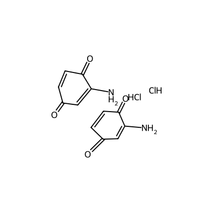 Cl.Cl.NC1=CC(=O)C=CC1=O.NC1=CC(=O)C=CC1=O